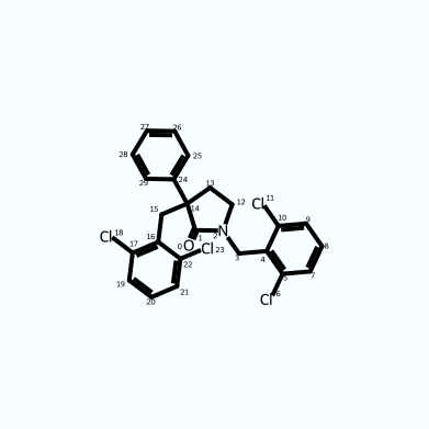 O=C1N(Cc2c(Cl)cccc2Cl)CCC1(Cc1c(Cl)cccc1Cl)c1ccccc1